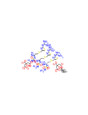 NC(N)=Nc1nc(CSCCC(N)=NS(N)(=O)=O)cs1.NC(N)=Nc1nc(CSCCC(N)=NS(N)(=O)=O)cs1.NC(N)=Nc1nc(CSCCC(N)=NS(N)(=O)=O)cs1.O=C([O-])CC(O)(CC(=O)[O-])C(=O)[O-].O=C([O-])CC(O)(CC(=O)[O-])C(=O)[O-].[Zn+2].[Zn+2].[Zn+2]